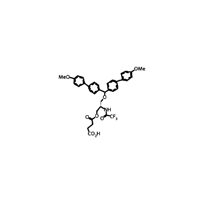 COc1ccc(-c2ccc(C(OC[C@@H](COC(=O)CCC(=O)O)NC(=O)C(F)(F)F)c3ccc(-c4ccc(OC)cc4)cc3)cc2)cc1